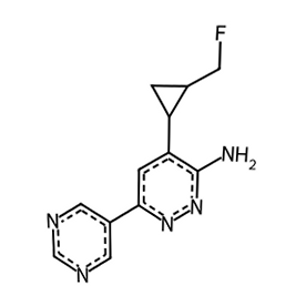 Nc1nnc(-c2cncnc2)cc1C1CC1CF